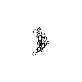 O=S(=O)(C[C@H]1CC[C@]2(S(=O)(=O)c3ccc(Cl)cc3)c3c(F)c(Cl)cc(F)c3OC[C@@H]2C1)N1CCC1